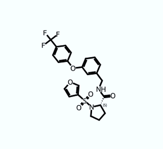 O=C(NCc1cccc(Oc2ccc(C(F)(F)F)cc2)c1)[C@@H]1CCCN1S(=O)(=O)c1ccoc1